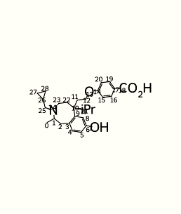 CC1Cc2ccc(O)cc2[C@](CCOc2ccc(C(=O)O)cc2)(C(C)C)CCN1CC1CC1